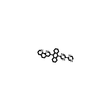 c1cnc2c(c1)ccc1cc(-c3c4ccccc4c(-c4cnc(-c5cnccn5)cn4)c4ccccc34)cnc12